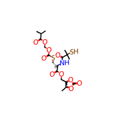 Cc1oc(=O)oc1COC(=O)[C@H](CSC(=O)OCOC(=O)C(C)C)NC(=O)C(C)(C)S